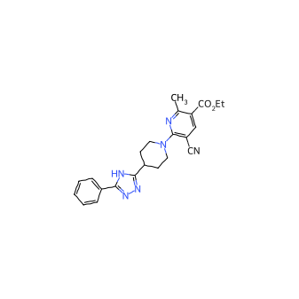 CCOC(=O)c1cc(C#N)c(N2CCC(c3nnc(-c4ccccc4)[nH]3)CC2)nc1C